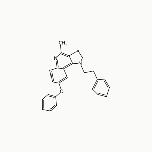 Cc1nc2ccc(Oc3ccccc3)cc2c2c1CCN2CCc1ccccc1